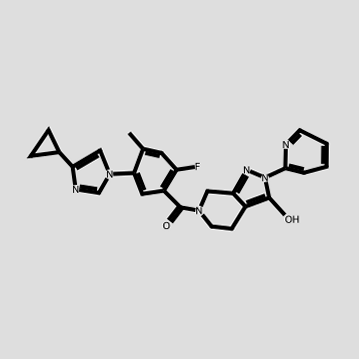 Cc1cc(F)c(C(=O)N2CCc3c(nn(-c4ccccn4)c3O)C2)cc1-n1cnc(C2CC2)c1